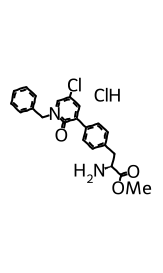 COC(=O)[C@@H](N)Cc1ccc(-c2cc(Cl)cn(Cc3ccccc3)c2=O)cc1.Cl